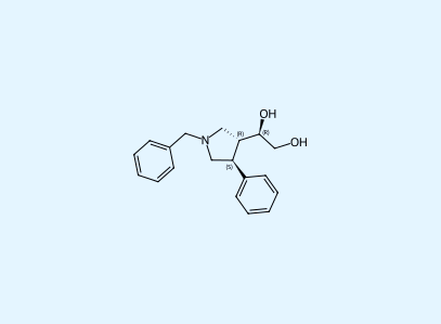 OC[C@H](O)[C@H]1CN(Cc2ccccc2)C[C@@H]1c1ccccc1